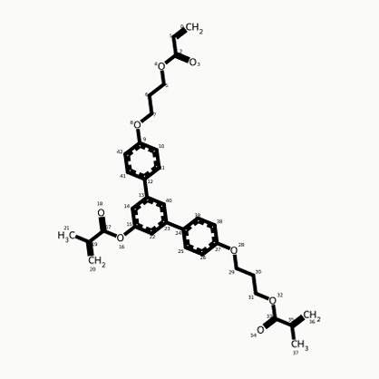 C=CC(=O)OCCCOc1ccc(-c2cc(OC(=O)C(=C)C)cc(-c3ccc(OCCCOC(=O)C(=C)C)cc3)c2)cc1